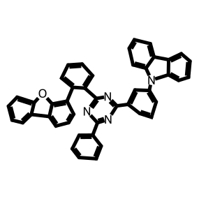 c1ccc(-c2nc(-c3cccc(-n4c5ccccc5c5ccccc54)c3)nc(-c3ccccc3-c3cccc4c3oc3ccccc34)n2)cc1